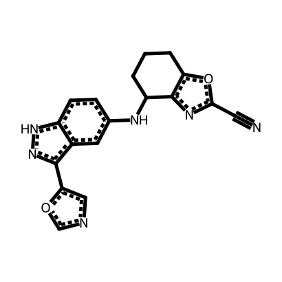 N#Cc1nc2c(o1)CCCC2Nc1ccc2[nH]nc(-c3cnco3)c2c1